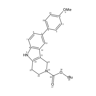 COc1ccc(-c2ccc3[nH]c4c(c3c2)CN(C(=O)OC(C)(C)C)CC4)cc1